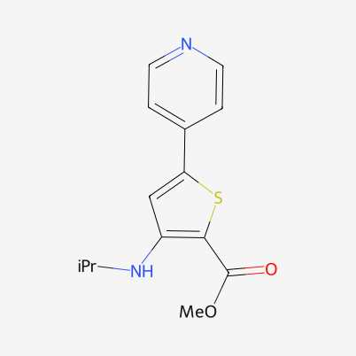 COC(=O)c1sc(-c2ccncc2)cc1NC(C)C